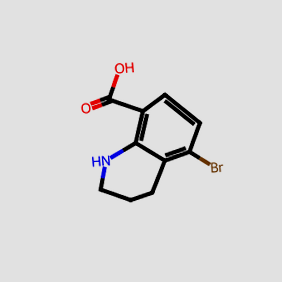 O=C(O)c1ccc(Br)c2c1NCCC2